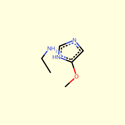 CCN.COc1cnc[nH]1